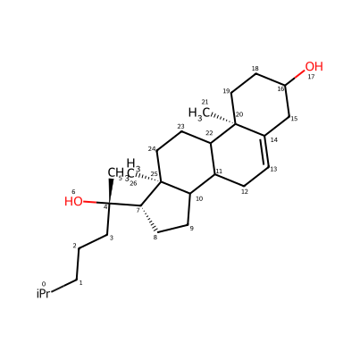 CC(C)CCC[C@](C)(O)[C@H]1CCC2C3CC=C4CC(O)CC[C@]4(C)C3CC[C@@]21C